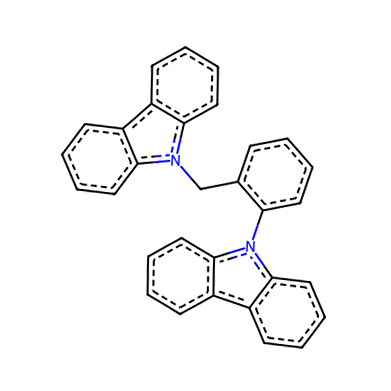 c1ccc(-n2c3ccccc3c3ccccc32)c(Cn2c3ccccc3c3ccccc32)c1